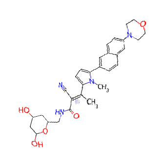 C/C(=C(/C#N)C(=O)NCC1CC(O)CC(O)O1)c1ccc(-c2ccc3cc(N4CCOCC4)ccc3c2)n1C